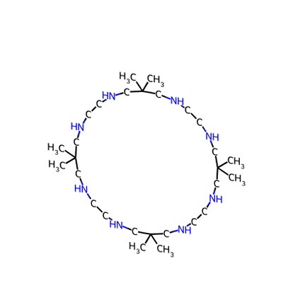 CC1(C)CNCCNCC(C)(C)CNCCNCC(C)(C)CNCCNCC(C)(C)CNCCNC1